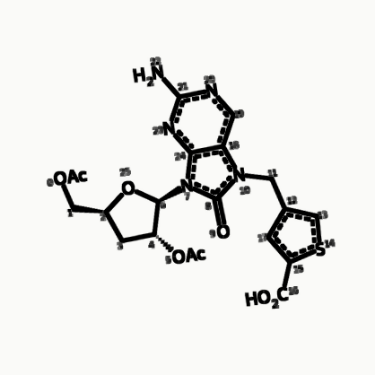 CC(=O)OC[C@@H]1C[C@@H](OC(C)=O)[C@H](n2c(=O)n(Cc3csc(C(=O)O)c3)c3cnc(N)nc32)O1